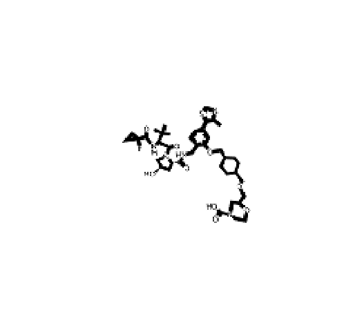 Cc1ncsc1-c1ccc(CNC(=O)[C@@H]2C[C@@H](O)CN2C(=O)C(NC(=O)C2(F)CC2)C(C)(C)C)c(OCC2CCC(COCC3CN(C(=O)O)CCO3)CC2)c1